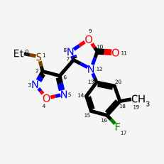 CCSc1nonc1-c1noc(=O)n1-c1ccc(F)c(C)c1